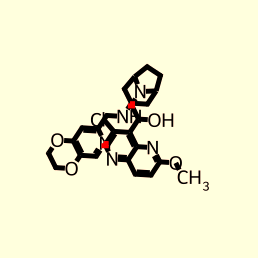 COc1ccc2ncc(Cl)c(C(O)CN3C4CCC3CC(NCc3cc5c(cn3)OCCO5)C4)c2n1